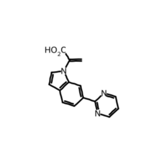 C=C(C(=O)O)n1ccc2ccc(-c3ncccn3)cc21